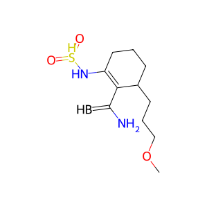 B=C(N)C1=C(N[SH](=O)=O)CCCC1CCCOC